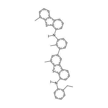 CCc1ccccc1N(I)c1cccc2c1sc1c(C)cc(-c3cccc(N(I)c4cccc5c4sc4c(C)cccc45)c3C)cc12